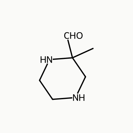 CC1(C=O)CNCCN1